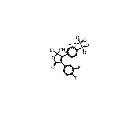 CCC1(C)OC(=O)C(c2ccc(F)c(F)c2)=C1c1ccc(S(=O)(=O)S(C)(=O)=O)cc1